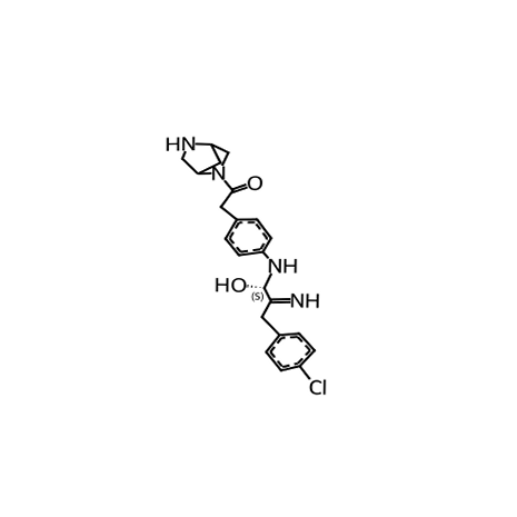 N=C(Cc1ccc(Cl)cc1)[C@H](O)Nc1ccc(CC(=O)N2CC3CC2CN3)cc1